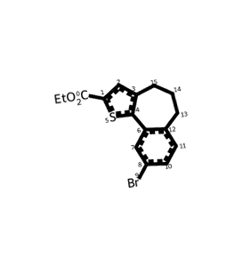 CCOC(=O)c1cc2c(s1)-c1cc(Br)ccc1CCC2